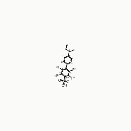 CCC(C)c1ccc(-c2c(F)c(F)c(S(=O)(=O)O)c(F)c2F)cc1